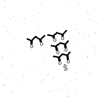 CC(=O)CC(C)=O.CC(=O)CC(C)=O.CC(=O)CC(C)=O.CC(=O)CC(C)=O.[Zr].[Zr]